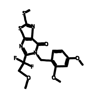 COCC(F)(F)c1nc2sc(SC)nc2c(=O)n1Cc1ccc(OC)cc1OC